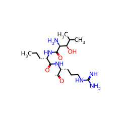 CCC[C@H](NC(=O)[C@@H](N)[C@H](O)C(C)C)C(=O)N[C@@H]([C]=O)CCCNC(=N)N